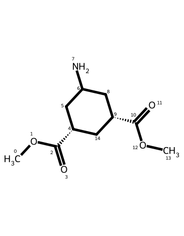 COC(=O)[C@@H]1CC(N)C[C@H](C(=O)OC)C1